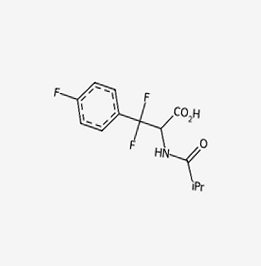 CC(C)C(=O)NC(C(=O)O)C(F)(F)c1ccc(F)cc1